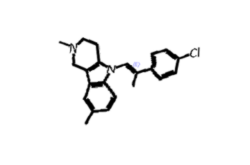 C/C(=C\n1c2c(c3cc(C)ccc31)CN(C)CC2)c1ccc(Cl)cc1